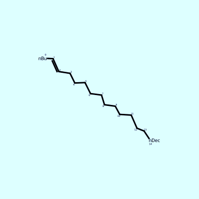 CCCCC=CCCCCCCCCCCCCCCCCCCCCC